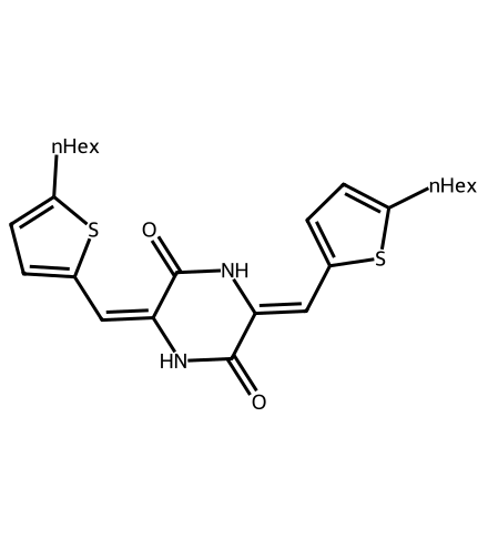 CCCCCCc1ccc(C=c2[nH]c(=O)c(=Cc3ccc(CCCCCC)s3)[nH]c2=O)s1